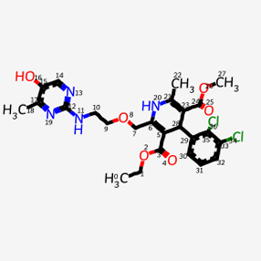 CCOC(=O)C1=C(COCCNc2ncc(O)c(C)n2)NC(C)=C(C(=O)OC)C1c1cccc(Cl)c1Cl